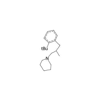 CC(Cc1ccccc1C(C)(C)C)CN1CCCCC1